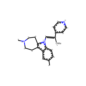 CO/C(=C\n1c2c(c3cc(C)ccc31)CCN(C)CC2)c1ccncc1